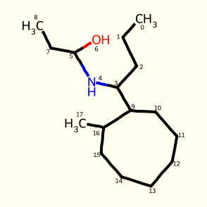 CCCC(NC(O)CC)C1CCCCCCC1C